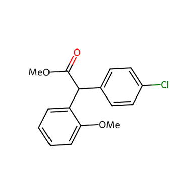 COC(=O)C(c1ccc(Cl)cc1)c1ccccc1OC